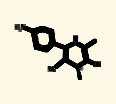 CC1=C(C#N)[C@@H](C)C(C#N)=C(c2ccc(N)cc2)N1